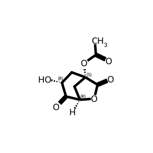 CC(=O)O[C@@]12C[C@@H](O)C(=O)[C@@H](C1)OC2=O